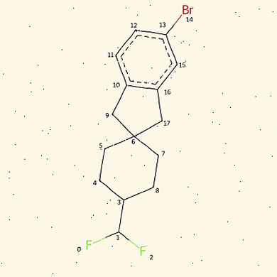 FC(F)C1CCC2(CC1)Cc1ccc(Br)cc1C2